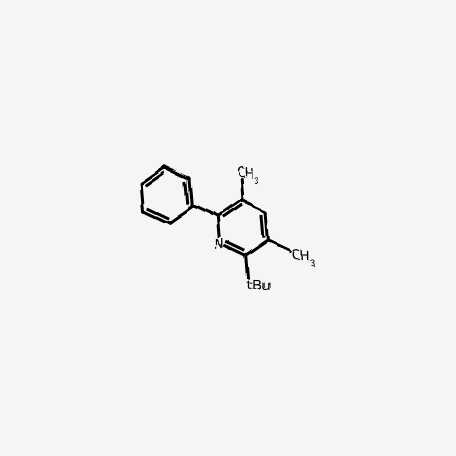 Cc1cc(C)c(C(C)(C)C)nc1-c1ccccc1